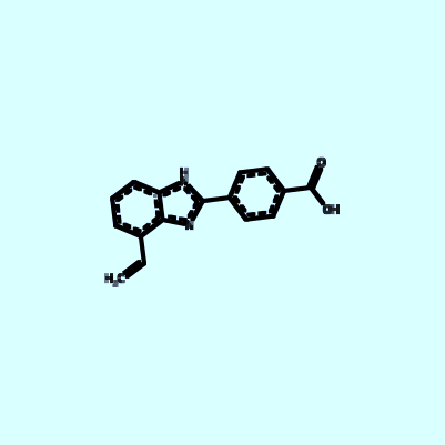 C=Cc1cccc2[nH]c(-c3ccc(C(=O)O)cc3)nc12